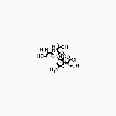 C[C@@H](O)[C@H](NC(=O)[C@@H](N)CO)C(=O)N[C@@H](CC(N)=O)C(=O)N[C@@H](CO)C(=O)O